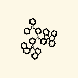 c1ccc(N(c2ccccc2)c2cccc(N(c3cccc(N(c4cccc5ccccc45)c4cccc5ccccc45)c3)c3cccc4c3-c3ccccc3C43c4ccccc4-c4ccccc43)c2)cc1